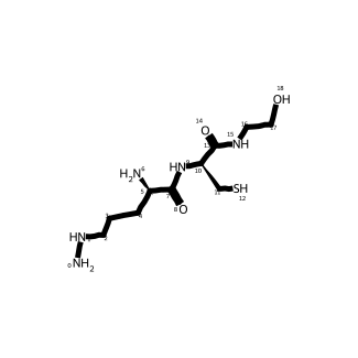 NNCCC[C@@H](N)C(=O)N[C@H](CS)C(=O)NCCO